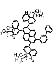 C[Si](C)(C)c1ccc(-c2cc(-c3cccc(-c4ccccc4)c3)c3ccc4c(-c5ccc([Si](C)(C)C)c6ccccc56)cc(-c5ccc([Si](C)(C)C)c6ccccc56)c5ccc2c3c45)c2ccccc12